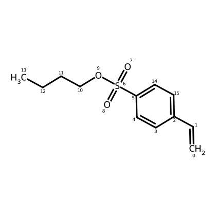 C=Cc1ccc(S(=O)(=O)OCCCC)cc1